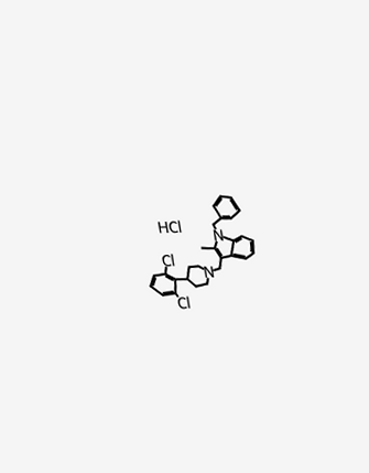 Cc1c(CN2CCC(c3c(Cl)cccc3Cl)CC2)c2ccccc2n1Cc1ccccc1.Cl